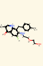 N#Cc1c[nH]c2c(Cc3ccc(C(F)(F)F)cc3)c(NCCOCCO)c(F)cc2c1=O